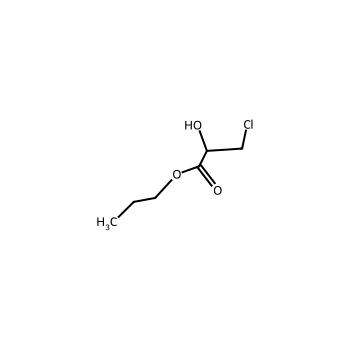 CCCOC(=O)C(O)CCl